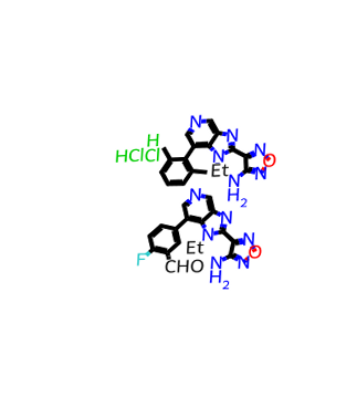 CCn1c(-c2nonc2N)nc2cncc(-c3c(C)cccc3C)c21.CCn1c(-c2nonc2N)nc2cncc(-c3ccc(F)c(C=O)c3)c21.Cl.Cl